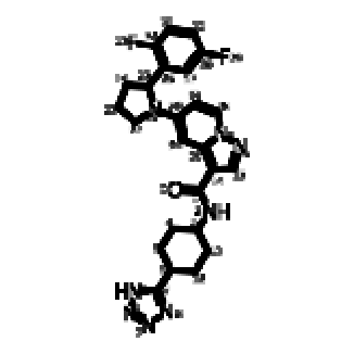 O=C(NC1CCC(c2nnn[nH]2)CC1)c1cnn2ccc(N3CCCC3c3cc(F)ccc3F)cc12